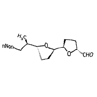 CCCCCCCCCC[C@@H](C)[C@H]1CC[C@H]([C@H]2CC[C@H](C=O)O2)O1